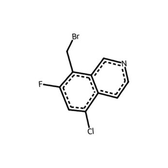 Fc1cc(Cl)c2ccncc2c1CBr